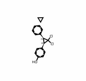 C1CC1.Oc1ccc([C@H]2[C@@H](c3ccccc3)C2(Cl)Cl)cc1